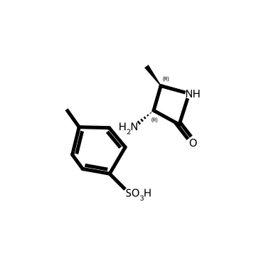 C[C@H]1NC(=O)[C@@H]1N.Cc1ccc(S(=O)(=O)O)cc1